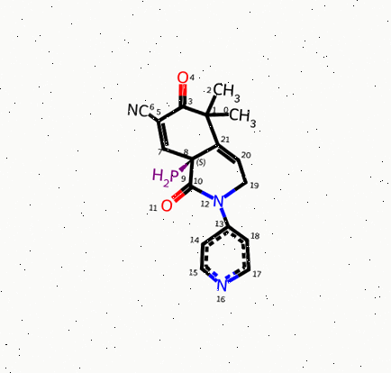 CC1(C)C(=O)C(C#N)=C[C@@]2(P)C(=O)N(c3ccncc3)CC=C12